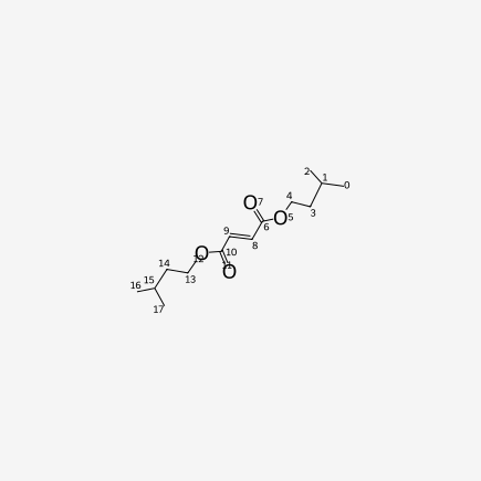 CC(C)CCOC(=O)C=CC(=O)OCCC(C)C